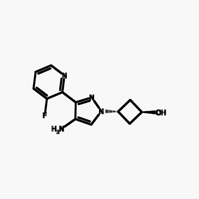 Nc1cn([C@H]2C[C@H](O)C2)nc1-c1ncccc1F